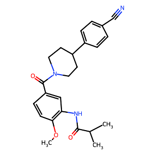 COc1ccc(C(=O)N2CCC(c3ccc(C#N)cc3)CC2)cc1NC(=O)C(C)C